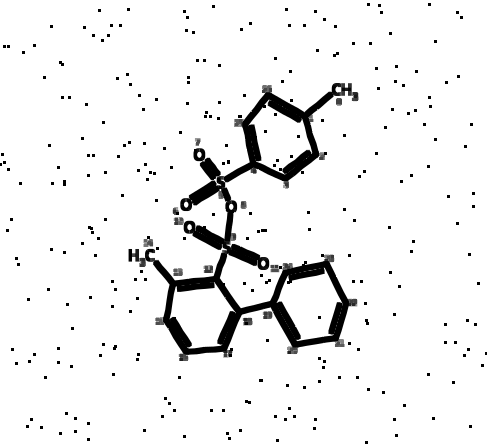 Cc1ccc(S(=O)(=O)OS(=O)(=O)c2c(C)cccc2-c2ccccc2)cc1